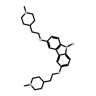 CCn1c2ccc(OCCC3CCN(C)CC3)cc2c2cc(OCCC3CCN(C)CC3)ccc21